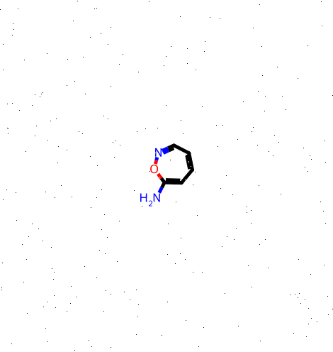 NC1=CC=CC=NO1